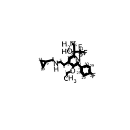 CCOc1c(CCNCC2CC2)cc([C@@](O)(CN)C(F)(F)F)nc1-c1ccc(F)cc1